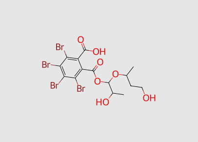 CC(CCO)OC(OC(=O)c1c(Br)c(Br)c(Br)c(Br)c1C(=O)O)C(C)O